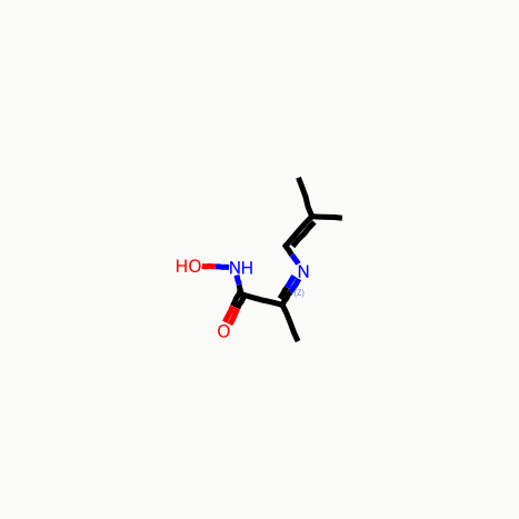 CC(C)=C/N=C(/C)C(=O)NO